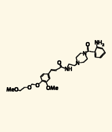 COCCOCOc1ccc(C=CC(=O)NCCN2CCN(C(=O)c3ccccc3N)CC2)cc1OC